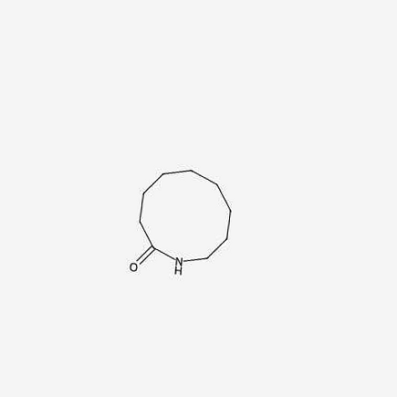 O=C1CCCCCCCCN1